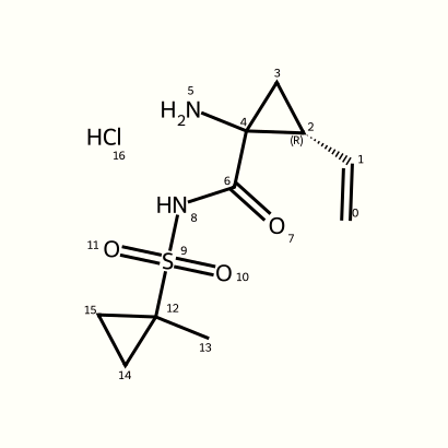 C=C[C@H]1CC1(N)C(=O)NS(=O)(=O)C1(C)CC1.Cl